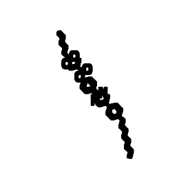 CCCCCCCC[C@H]1CC[C@H](c2cnc(-c3ccc(OC(=O)[C@H]4CO[C@H](CCCCC)OC4)cc3)nc2)CC1